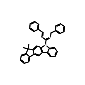 CC1(C)c2ccccc2-c2cc3c4ccccc4n(C(/N=C/c4ccccc4)=N/Cc4ccccc4)c3cc21